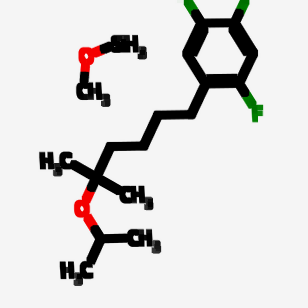 CC(C)OC(C)(C)CCCCc1cc(F)c(F)cc1F.CO[SiH3]